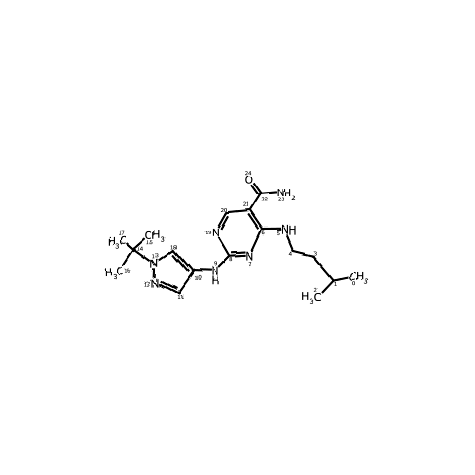 CC(C)CCNc1nc(Nc2cnn(C(C)(C)C)c2)ncc1C(N)=O